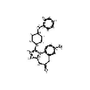 O=C1Cc2cc(Br)ccc2-n2c(nnc2C2CCC(Oc3ccccn3)CC2)C1